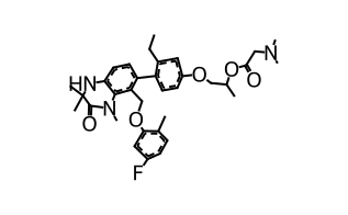 CCc1cc(OCC(C)OC(=O)CN(C)C)ccc1-c1ccc2c(c1COc1cc(F)ccc1C)N(C)C(=O)C(C)(C)N2